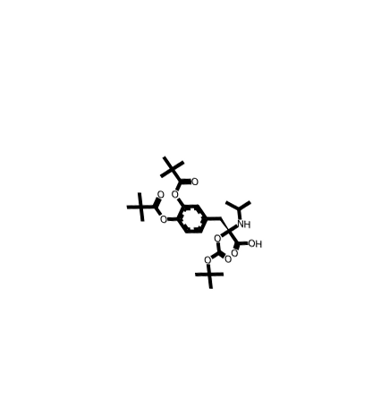 CC(C)N[C@@](Cc1ccc(OC(=O)C(C)(C)C)c(OC(=O)C(C)(C)C)c1)(OC(=O)OC(C)(C)C)C(=O)O